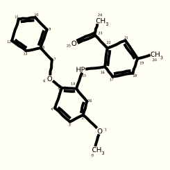 COc1ccc(OCc2ccccc2)c(Pc2ccc(C)cc2C(C)=O)c1